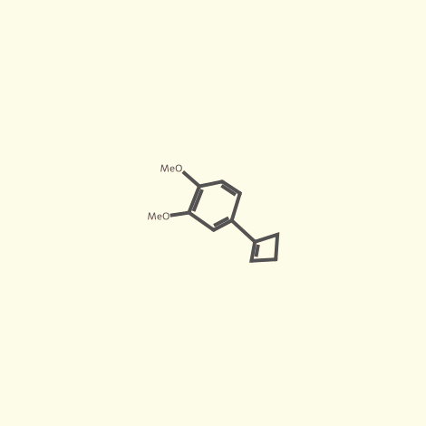 COc1ccc(C2=CCC2)cc1OC